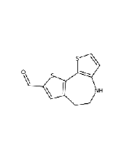 O=Cc1cc2c(s1)-c1sccc1NCC2